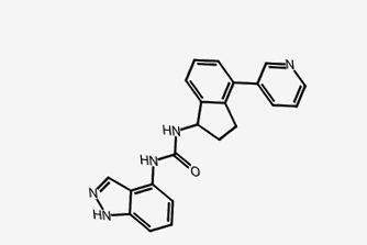 O=C(Nc1cccc2[nH]ncc12)NC1CCc2c(-c3cccnc3)cccc21